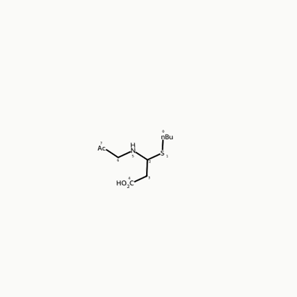 CCCCSC(CC(=O)O)NCC(C)=O